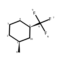 C[C@H]1CCC[C@@H](C(F)(F)F)C1